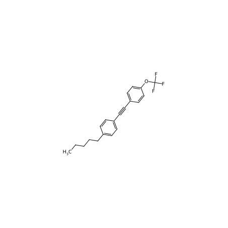 CCCCCc1ccc(C#Cc2ccc(OC(F)(F)F)cc2)cc1